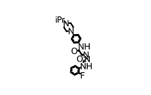 CC(C)N1CCN(c2ccc(NC(=O)c3nnc(Nc4ccccc4F)o3)cc2)CC1